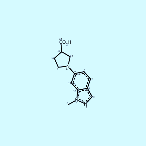 Cn1ncc2ccc(N3CCC(C(=O)O)C3)cc21